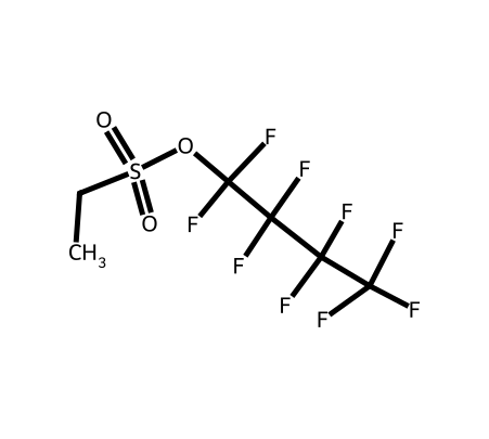 CCS(=O)(=O)OC(F)(F)C(F)(F)C(F)(F)C(F)(F)F